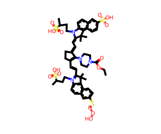 CCOC(=O)N1CCN(C2=C(/C=C/C3=[N+](CCC(C)S(=O)(=O)O)c4ccc5cc(SOOO)ccc5c4C3(C)C)CC/C2=C\C=C2\N(CCC(C)S(=O)(=O)O)c3ccc4cc(S(=O)(=O)O)ccc4c3C2(C)C)CC1